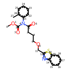 COC(=O)N(C(=O)CCCOCc1nc2ccccc2s1)c1ccccc1C